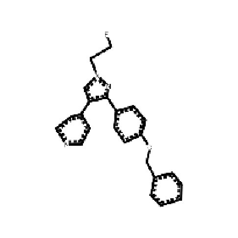 FCCn1cc(-c2ccncc2)c(-c2ccc(OCc3ccccc3)cc2)n1